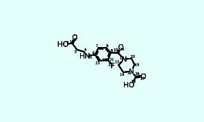 O=C(O)CCNc1ccc(C(=O)N2CCN(C(=O)O)CC2)c(F)c1